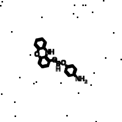 Nc1ccc(OBOc2cccc3c2Nc2ccccc2O3)cc1